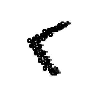 O=P([O-])([O-])[O-].O=P([O-])([O-])[O-].O=P([O-])([O-])[O-].O=P([O-])([O-])[O-].O=P([O-])([O-])[O-].O=P([O-])([O-])[O-].[Ca+2].[Ca+2].[Ca+2].[Ca+2].[Ca+2].[Ca+2].[Ca+2].[Ca+2].[Ca+2]